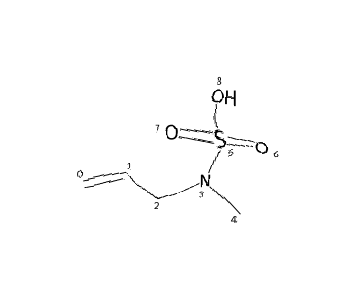 C=CCN(C)S(=O)(=O)O